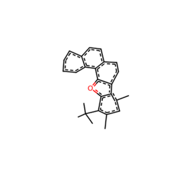 Cc1cc(C)c2c(oc3c2ccc2ccc4ccccc4c23)c1C(C)(C)C